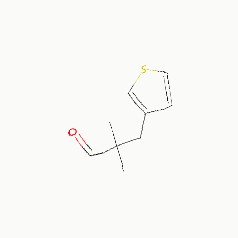 CC(C)(C=O)Cc1ccsc1